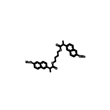 COc1ccc2cc(C(C)C(=O)OCCCCOC(=O)C(C)c3ccc4cc(OC)ccc4c3)ccc2c1